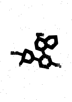 COc1ccc(-c2cnc(N)nc2-c2ccc(OC)c3ccccc23)cc1I